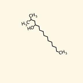 CCCCCCCCCCCC(O)CC(C)C